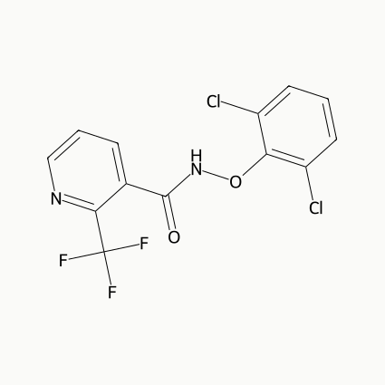 O=C(NOc1c(Cl)cccc1Cl)c1cccnc1C(F)(F)F